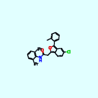 Cc1ccccc1-c1oc(CC(=O)Nc2c(C(C)C)cccc2C(C)C)c2ccc(Cl)cc12